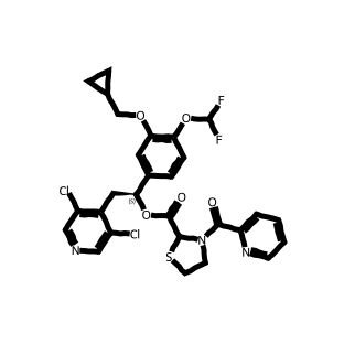 O=C(O[C@@H](Cc1c(Cl)cncc1Cl)c1ccc(OC(F)F)c(OCC2CC2)c1)C1SCCN1C(=O)c1ccccn1